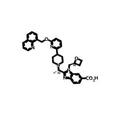 C[C@@H](c1nc2ccc(C(=O)O)cc2n1C[C@@H]1CCO1)N1CCC(c2cccc(OCc3cccc4cccnc34)n2)CC1